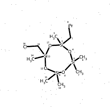 CC(C)C[Si]1(C)O[Si](C)(C)O[Si](C)(C)O[Si](C)(CCl)O1